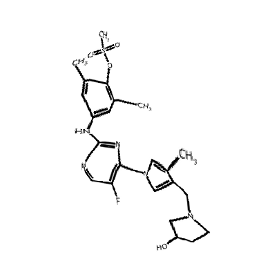 Cc1cn(-c2nc(Nc3cc(C)c(OS(C)(=O)=O)c(C)c3)ncc2F)cc1CN1CCC(O)C1